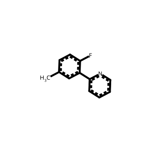 Cc1ccc(F)c(-c2ccccn2)c1